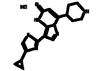 Cl.O=c1cc(C2CCNCC2)n2ncc(-c3nc(C4CC4)cs3)c2[nH]1